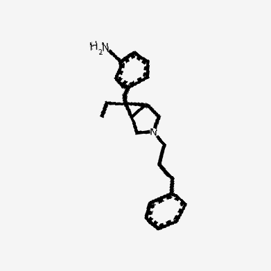 CCC1(c2cccc(N)c2)C2CN(CCCc3ccccc3)CC21